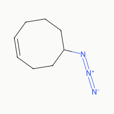 [N-]=[N+]=NC1CCC=CCCC1